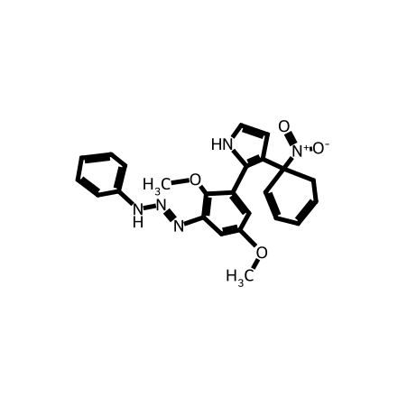 COc1cc(N=NNc2ccccc2)c(OC)c(-c2[nH]ccc2C2([N+](=O)[O-])C=CC=CC2)c1